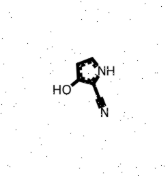 N#Cc1[nH]ccc1O